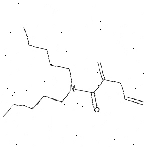 C=CCC(=C)C(=O)N(CCCCC)CCCCC